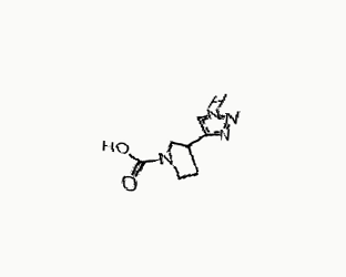 O=C(O)N1CCC(c2c[nH]nn2)C1